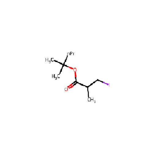 CCCC(C)(C)OC(=O)C(C)CI